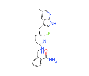 Cc1cnc2[nH]cc(Cc3ccc(NCc4ccccc4C(N)=O)nc3F)c2c1